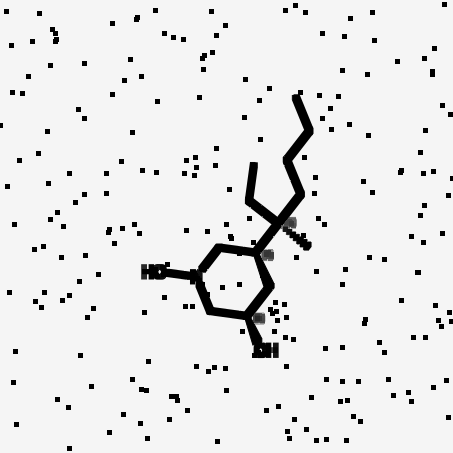 CCCC[C@](C)(CC)[C@H]1C[C@@H](O)CN(O)C1